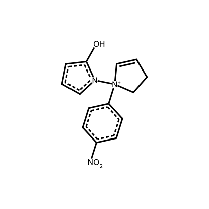 O=[N+]([O-])c1ccc([N+]2(n3cccc3O)C=CCC2)cc1